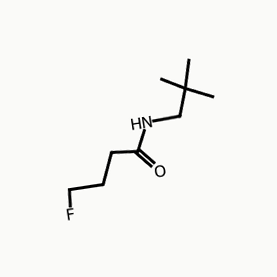 CC(C)(C)CNC(=O)CCCF